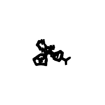 CC(C)c1ccc(-c2nc3ncccn3c2CN2C3CCC2CN(C(=O)O)CC3)cc1